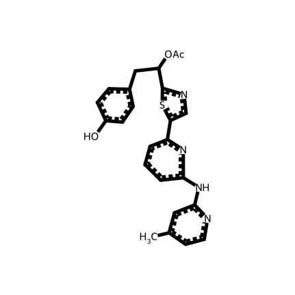 CC(=O)OC(Cc1ccc(O)cc1)c1ncc(-c2cccc(Nc3cc(C)ccn3)n2)s1